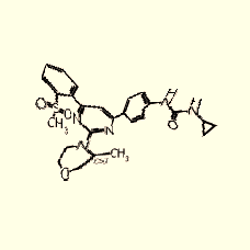 C[C@H]1COCCN1c1nc(-c2ccc(NC(=O)NC3CC3)cc2)cc(-c2ccccc2S(C)(=O)=O)n1